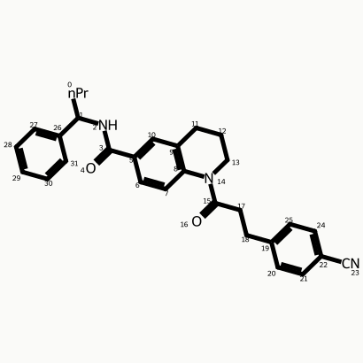 CCCC(NC(=O)c1ccc2c(c1)CCCN2C(=O)CCc1ccc(C#N)cc1)c1ccccc1